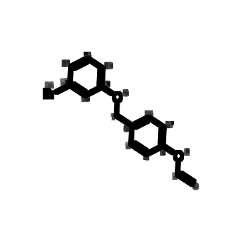 C=COc1ccc(COc2cccc(Br)c2)cc1